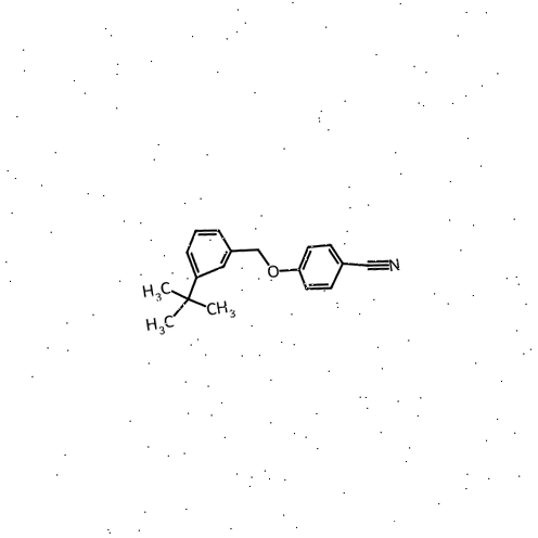 CC(C)(C)c1cccc(COc2ccc(C#N)cc2)c1